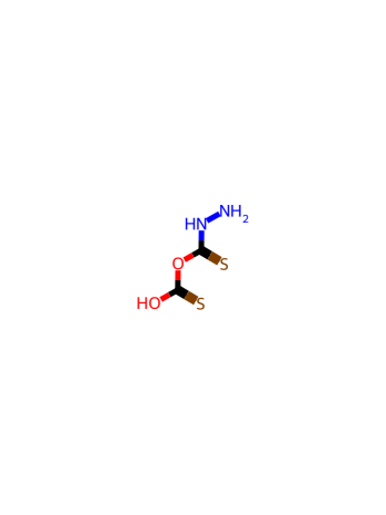 NNC(=S)OC(O)=S